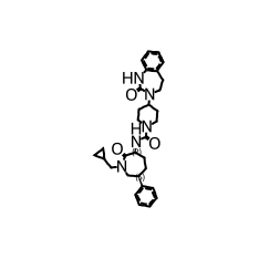 O=C(N[C@@H]1CC[C@@H](c2ccccc2)CN(CC2CC2)C1=O)N1CCC(N2CCc3ccccc3NC2=O)CC1